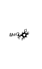 CON(C)c1cc(Cl)c(F)cc1F